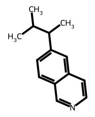 CC(C)C(C)c1ccc2cnccc2c1